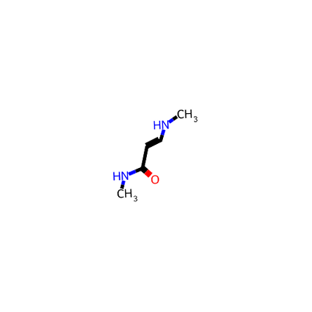 CN/C=C/C(=O)NC